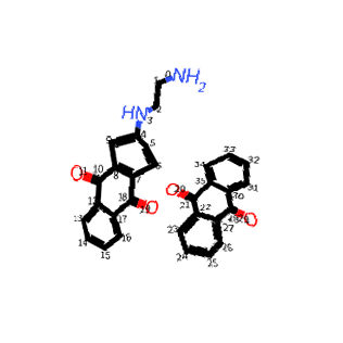 NCCNc1ccc2c(c1)C(=O)c1ccccc1C2=O.O=C1c2ccccc2C(=O)c2ccccc21